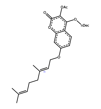 CCCCCCCCCCOc1c(OC(C)=O)c(=O)oc2cc(OC/C=C(\C)CCC=C(C)C)ccc12